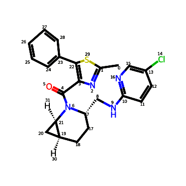 Cc1nc(C(=O)N2[C@H](CNc3ccc(Cl)cn3)CC[C@H]3C[C@H]32)c(-c2ccccc2)s1